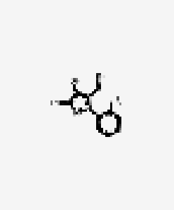 CCc1nn(-c2ccccc2C)c(CC(C)C)c1O